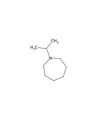 CC(C)N1CCCCCC1